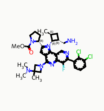 COC(=O)N1CCC[C@@H]1c1cc2c(N3CC(C)(N(C)C)C3)nc3c(F)c(-c4cccc(Cl)c4Cl)ncc3c2n1[C@H]1[C@@H](CN)C[C@@H]1C